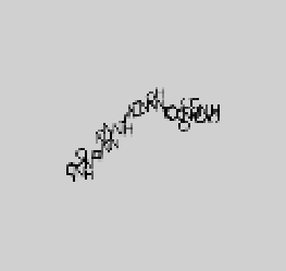 Cc1cccc(C(=O)NC2CC(n3cnc4c(NCCCN5CCN(C(=O)CNc6ccc7c(c6)C(=O)N([C@@H]6CCC(=O)NC6=O)C7=O)CC5)ncnc43)C2)n1